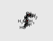 CCc1cc(-c2noc(-c3cc(C)c(CN(CC)CC)s3)n2)cc(C)c1OC[C@@H](O)CNCCO